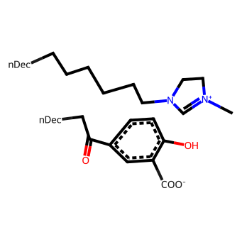 CCCCCCCCCCCC(=O)c1ccc(O)c(C(=O)[O-])c1.CCCCCCCCCCCCCCCCN1C=[N+](C)CC1